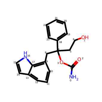 NC(=O)OC(CCO)(Cc1cccc2cc[nH]c12)c1ccccc1